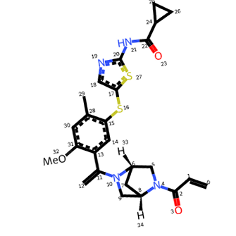 C=CC(=O)N1C[C@@H]2C[C@H]1CN2C(=C)c1cc(Sc2cnc(NC(=O)C3CC3)s2)c(C)cc1OC